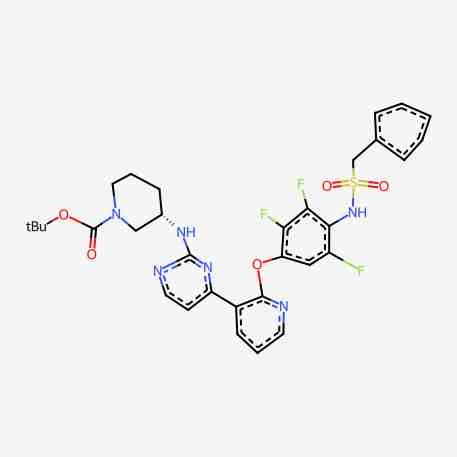 CC(C)(C)OC(=O)N1CCC[C@H](Nc2nccc(-c3cccnc3Oc3cc(F)c(NS(=O)(=O)Cc4ccccc4)c(F)c3F)n2)C1